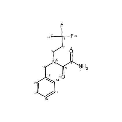 NC(=O)C(=O)N(CCC(F)(F)F)Cc1ccccc1